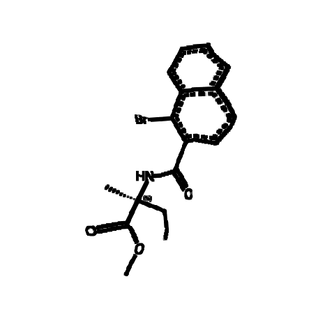 CC[C@](C)(NC(=O)c1ccc2ccccc2c1Br)C(=O)OC